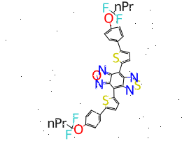 CCCC(F)(F)Oc1ccc(-c2ccc(-c3c4c(c(-c5ccc(-c6ccc(OC(F)(F)CCC)cc6)s5)c5nonc35)N=S=N4)s2)cc1